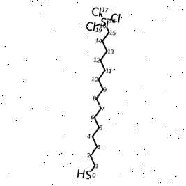 SCCCCCCCCCCCCCCC[Si](Cl)(Cl)Cl